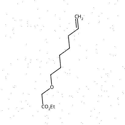 C=CCCCCCOCC(=O)OCC